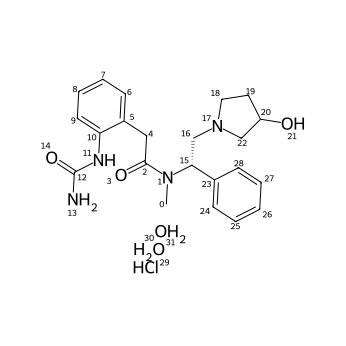 CN(C(=O)Cc1ccccc1NC(N)=O)[C@H](CN1CCC(O)C1)c1ccccc1.Cl.O.O